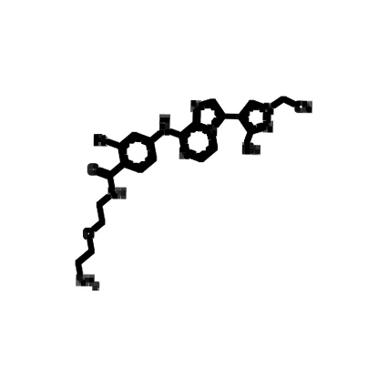 CCc1cc(Nc2nccn3c(-c4cn(CC#N)nc4C(C)CC)cnc23)ccc1C(=O)NCCOCCN